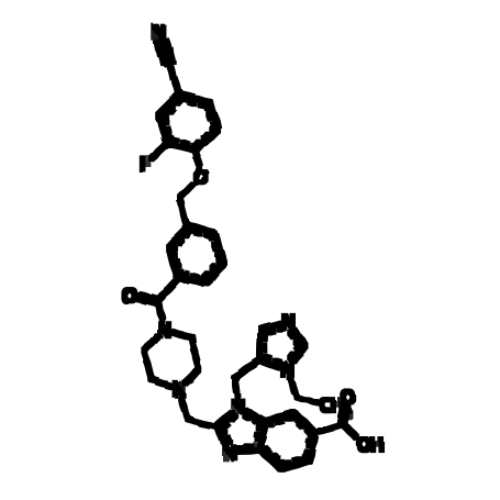 CCn1cncc1Cn1c(CN2CCN(C(=O)c3cccc(COc4ccc(C#N)cc4F)c3)CC2)nc2ccc(C(=O)O)cc21